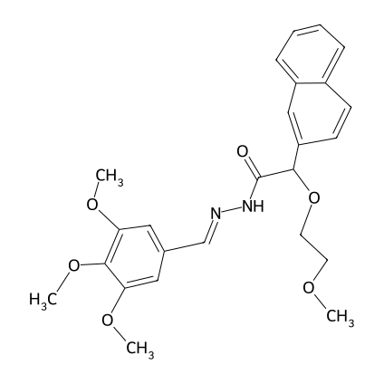 COCCOC(C(=O)N/N=C/c1cc(OC)c(OC)c(OC)c1)c1ccc2ccccc2c1